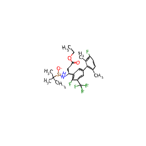 CCOC(=O)C[C@H](N[S+]([O-])C(C)(C)C)c1cc(-c2c(C)ccc(F)c2C)cc(C(F)(F)F)c1F